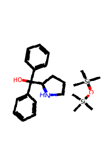 C[Si](C)(C)O[Si](C)(C)C.OC(c1ccccc1)(c1ccccc1)C1CCCN1